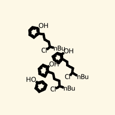 CCCCC(Cl)CCCc1ccccc1O.CCCCC(Cl)CCCc1ccccc1O.CCCCC(Cl)CCCc1ccccc1O.Oc1ccccc1